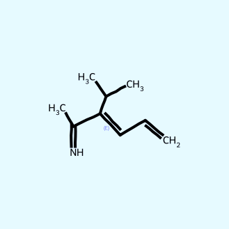 C=C/C=C(/C(C)=N)C(C)C